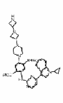 COc1cc(N2CCN(C3CN(C4CNC4)C3)CC2)c(NC(C)=O)cc1Nc1nccc(-c2cn(C3CC3)c3ccccc23)n1